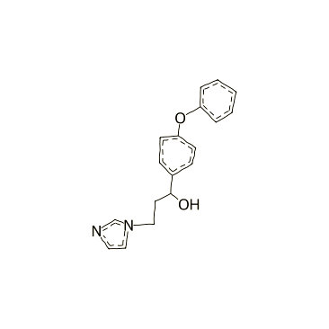 OC(CCn1ccnc1)c1ccc(Oc2ccccc2)cc1